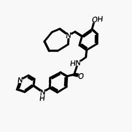 O=C(NCc1ccc(O)c(CN2CCCCCC2)c1)c1ccc(Nc2ccncc2)cc1